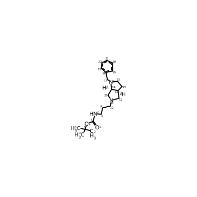 CC(C)(C)OC(=O)NCCCN1C[C@@H]2CCN(Cc3ccccc3)[C@@H]2C1